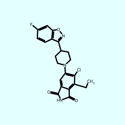 CCc1c(Cl)c(N2CCC(c3noc4cc(F)ccc34)CC2)cc2c1C(=O)NC2=O